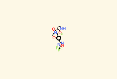 C[C@H]1COc2cc(-c3noc(C(F)(F)F)n3)cc(F)c2CN1C(=O)[C@@H]1CCNC1=O